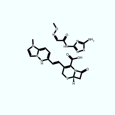 CN1C=CN2NC(/C=C/C3=C(C(=O)O)N4C(=O)C[C@@H]4SC3)=CC=C12.CO/N=C\C(=O)Nc1nsc(N)n1